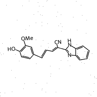 COc1cc(C=CC=C(C#N)c2nc3ccccc3[nH]2)ccc1O